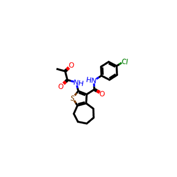 CC(=O)C(=O)Nc1sc2c(c1C(=O)Nc1ccc(Cl)cc1)CCCCC2